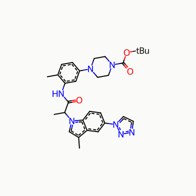 Cc1ccc(N2CCN(C(=O)OC(C)(C)C)CC2)cc1NC(=O)C(C)n1cc(C)c2cc(-n3ccnn3)ccc21